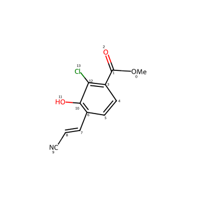 COC(=O)c1ccc(/C=C/C#N)c(O)c1Cl